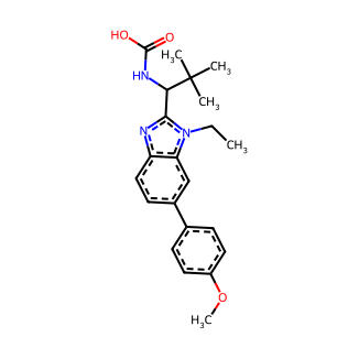 CCn1c(C(NC(=O)O)C(C)(C)C)nc2ccc(-c3ccc(OC)cc3)cc21